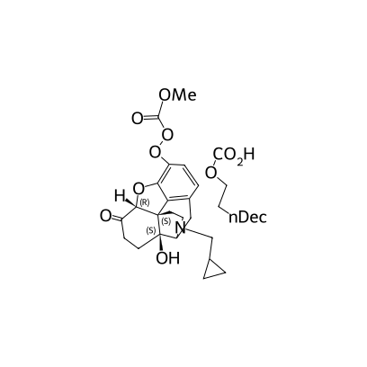 CCCCCCCCCCCCOC(=O)O.COC(=O)OOc1ccc2c3c1O[C@H]1C(=O)CC[C@@]4(O)C(C2)N(CC2CC2)CC[C@]314